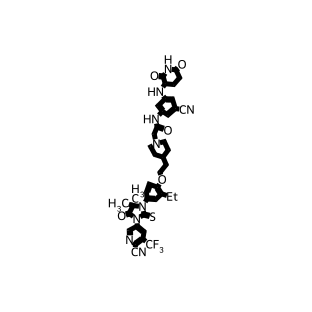 CCc1cc(N2C(=S)N(c3cnc(C#N)c(C(F)(F)F)c3)C(=O)C2(C)C)ccc1OCCC1CCN(CC(=O)Nc2cc(C#N)cc(NC3CCC(=O)NC3=O)c2)CC1